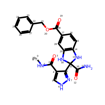 CC(C)NC(=O)c1c[nH]nc1C1(C(N)=O)Nc2ccc(C(=O)OCc3ccccc3)cc2N1